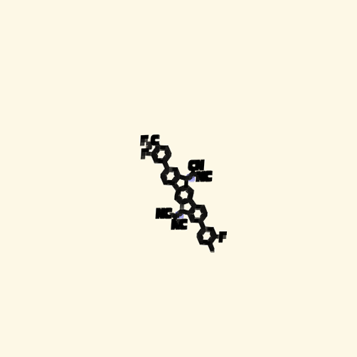 [C-]#[N+]/C(C#N)=C1/c2cc(-c3ccc(C(F)(F)F)c(F)c3)ccc2-c2cc3c(cc21)-c1ccc(-c2ccc(C)c(F)c2)cc1/C3=C(/C#N)[N+]#[C-]